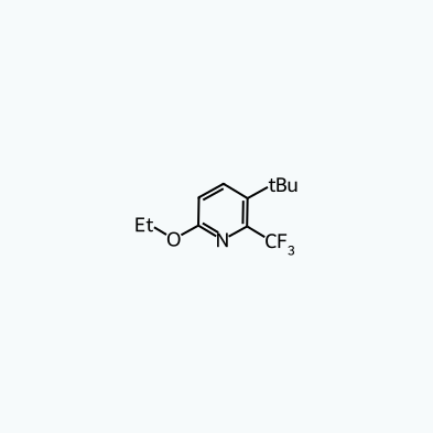 CCOc1ccc(C(C)(C)C)c(C(F)(F)F)n1